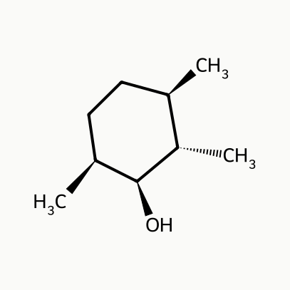 C[C@@H]1[C@@H](O)[C@@H](C)CC[C@H]1C